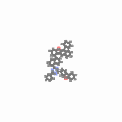 c1ccc(-c2nc(-c3ccc4c(c3)oc3ccccc34)nc(-c3cccc4c(-c5cccc6oc7c8c9c(cccc9cc7c56)-c5ccccc5-8)cccc34)n2)cc1